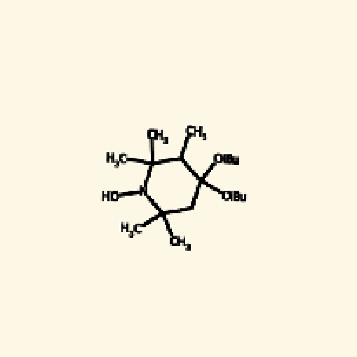 CC(C)COC1(OCC(C)C)CC(C)(C)N(O)C(C)(C)C1C